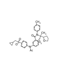 CC(=O)N(c1ccc(S(=O)(=O)CC2CC2)cc1)c1cccc(C(=O)N(c2ccc(C)cc2)C(C)(C)C2CCCO2)c1